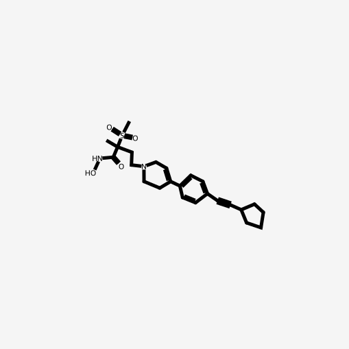 CC(CCN1CC=C(c2ccc(C#CC3CCCC3)cc2)CC1)(C(=O)NO)S(C)(=O)=O